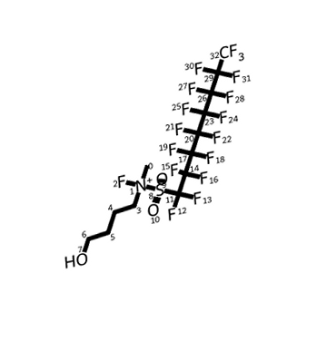 C[N+](F)(CCCCO)S(=O)(=O)C(F)(F)C(F)(F)C(F)(F)C(F)(F)C(F)(F)C(F)(F)C(F)(F)C(F)(F)F